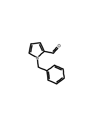 O=Cc1cccn1Cc1ccccc1